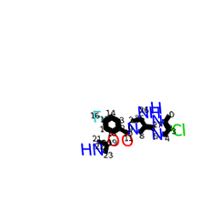 CC1=C(Cl)C=N/C(=C2\CN(C(=O)c3ccc(F)cc3OC3CNC3)CC2=N)N1